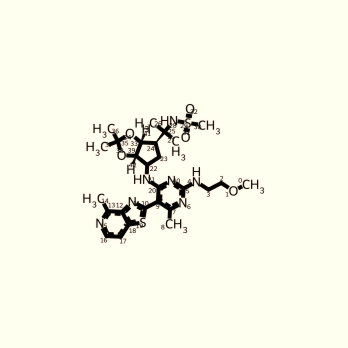 COCCNc1nc(C)c(-c2nc3c(C)nccc3s2)c(NC2C[C@H](C(C)(C)NS(C)(=O)=O)[C@H]3OC(C)(C)O[C@@H]23)n1